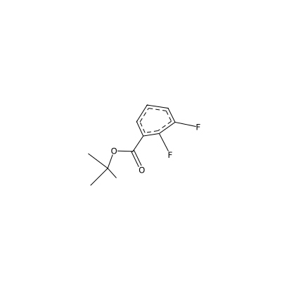 CC(C)(C)OC(=O)c1cccc(F)c1F